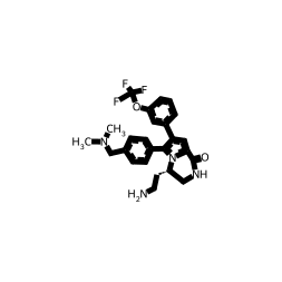 CN(C)Cc1ccc(-c2c(-c3cccc(OC(F)(F)F)c3)cc3n2[C@@H](CCN)CNC3=O)cc1